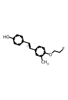 Cc1cc(/C=C/c2ccc(O)cc2)ccc1OCCF